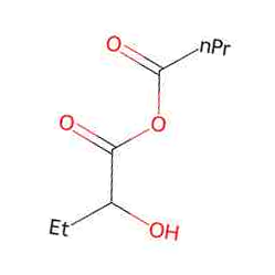 CCCC(=O)OC(=O)C(O)CC